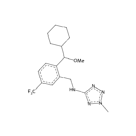 COC(c1ccc(C(F)(F)F)cc1CNc1nnn(C)n1)C1CCCCC1